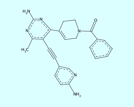 Cc1nc(N)nc(C2=CCN(C(=O)c3ccccc3)CC2)c1C#Cc1ccc(N)nc1